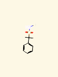 CC(C)(C)NS(=O)(=O)C(C)(C)c1ccccc1